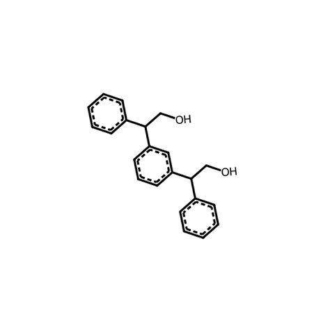 OCC(c1ccccc1)c1cccc(C(CO)c2ccccc2)c1